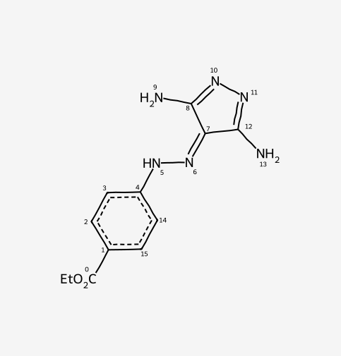 CCOC(=O)c1ccc(NN=C2C(N)=NN=C2N)cc1